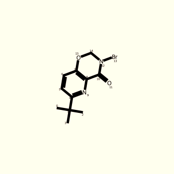 CC(C)(C)c1ccc2c(n1)C(=O)N(Br)CO2